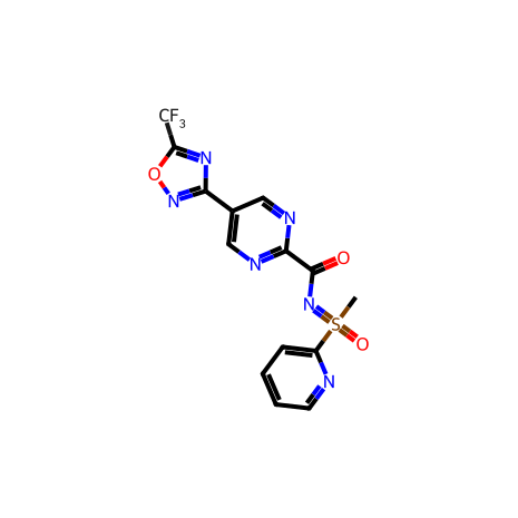 CS(=O)(=NC(=O)c1ncc(-c2noc(C(F)(F)F)n2)cn1)c1ccccn1